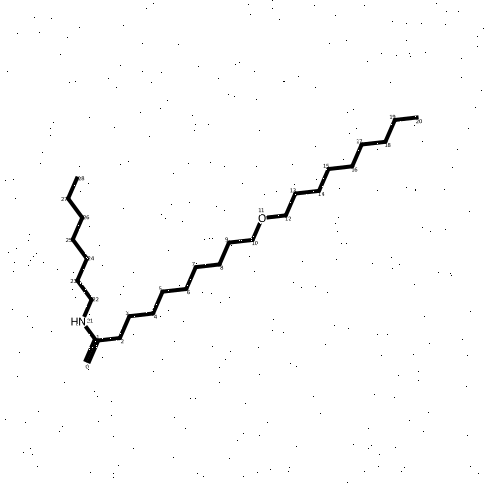 C=C(CCCCCCCCCOCCCCCCCCC)NCCCCCCC